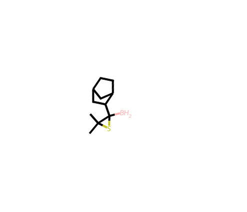 BC1(C2CC3CCC2C3)SC1(C)C